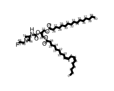 CCCCC/C=C\C/C=C\CCCCCCCC(=O)OCC(COC(=O)CCCCCCCCCCCCCCC)OC(=O)NC1CN(CCF)C1